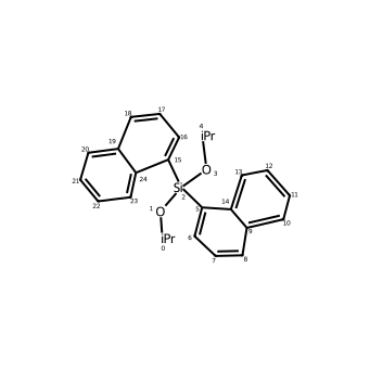 CC(C)O[Si](OC(C)C)(c1cccc2ccccc12)c1cccc2ccccc12